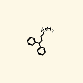 [AsH2]CCCC(c1ccccc1)c1ccccc1